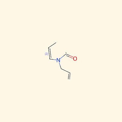 C=CCN([C]=O)/C=C\C